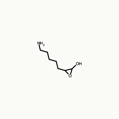 NCCCCCC1OC1O